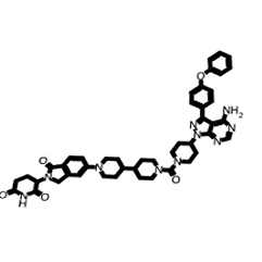 Nc1ncnc2c1c(-c1ccc(Oc3ccccc3)cc1)nn2C1CCN(C(=O)N2CCC(C3CCN(c4ccc5c(c4)CN(C4CCC(=O)NC4=O)C5=O)CC3)CC2)CC1